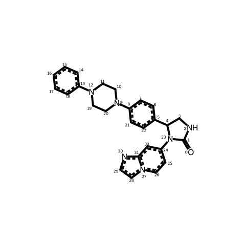 O=C1NCC(c2ccc(N3CCN(c4ccccc4)CC3)cc2)N1c1ccn2ccnc2c1